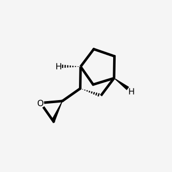 C1C[C@H]2C[C@H]1C[C@@H]2[C@H]1CO1